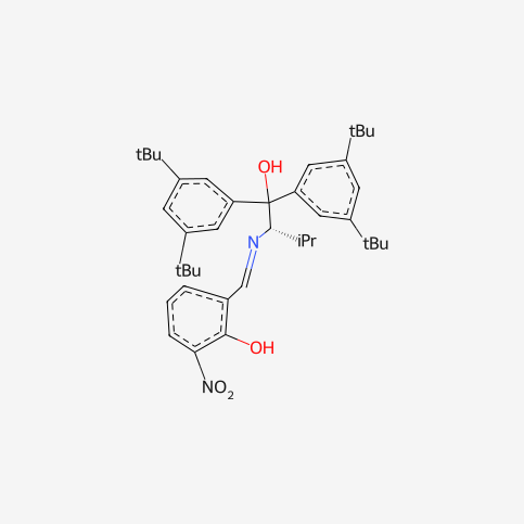 CC(C)[C@H](N=Cc1cccc([N+](=O)[O-])c1O)C(O)(c1cc(C(C)(C)C)cc(C(C)(C)C)c1)c1cc(C(C)(C)C)cc(C(C)(C)C)c1